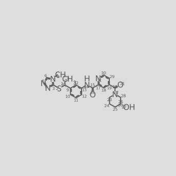 C[C@H](Sc1nncn1C)c1cccc(NC(=O)c2cc(C(=O)N3CCC[C@@H](O)C3)ccn2)c1